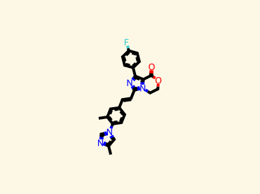 Cc1cn(-c2ccc(/C=C/c3nc(-c4ccc(F)cc4)c4n3CCOC4=O)cc2C)cn1